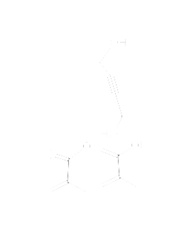 C=C(C)C(=O)O.C=C(C)C(=O)O.OCC#CCO